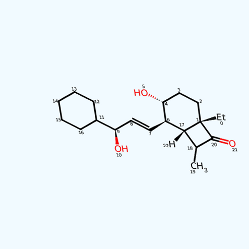 CC[C@]12CC[C@@H](O)[C@H](/C=C/[C@@H](O)C3CCCCC3)[C@H]1C(C)C2=O